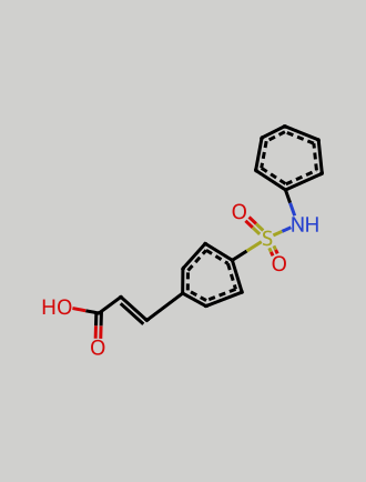 O=C(O)C=Cc1ccc(S(=O)(=O)Nc2ccccc2)cc1